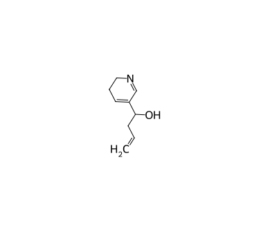 C=CCC(O)C1=CCCN=C1